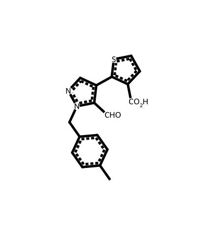 Cc1ccc(Cn2ncc(-c3sccc3C(=O)O)c2C=O)cc1